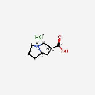 Cl.O=C(O)[C@H]1CC2CCCN2C1